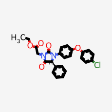 CCOC(=O)CN1C(=O)[C@H](c2ccccc2)N(c2ccc(Oc3ccc(Cl)cc3)cc2)C1=O